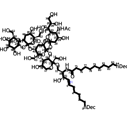 CCCCCCCCCCCCCCC/C=C/[C@H](O)[C@@H](CO[C@]1(CO)OC[C@@H](O)[C@@H](O)[C@@H]1O[C@@]1(O[C@]2(C(=O)O)C[C@H](O)[C@@H](NC(C)=O)[C@H]([C@H](O)[C@H](O)CO)O2)O[C@H](CO)[C@@H](O[C@@]2(O[C@H]3O[C@H](CO)[C@H](O)[C@H](O)[C@H]3O)O[C@H](CO)[C@H](O)C[C@H]2NC(C)=O)C[C@H]1O)NC(=O)CCCCCCCCCCCCCCCCCCC